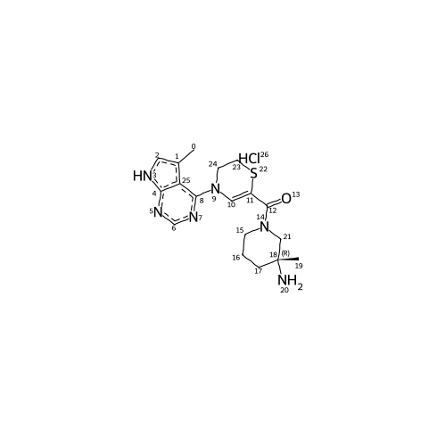 Cc1c[nH]c2ncnc(N3C=C(C(=O)N4CCC[C@@](C)(N)C4)SCC3)c12.Cl